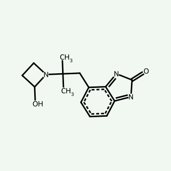 CC(C)(Cc1cccc2c1=NC(=O)N=2)N1CCC1O